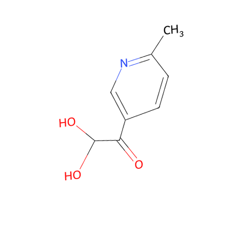 Cc1ccc(C(=O)C(O)O)cn1